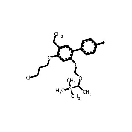 CCc1cc(-c2ccc(F)cc2)c(OCOC(C)[Si](C)(C)C)cc1OCCCCl